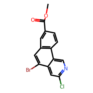 COC(=O)c1ccc2c(c1)cc(Br)c1cc(Cl)ncc12